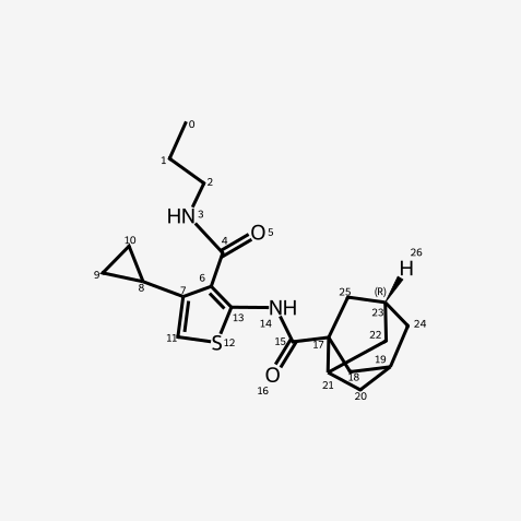 CCCNC(=O)c1c(C2CC2)csc1NC(=O)C12CC3CC1C[C@@H](C3)C2